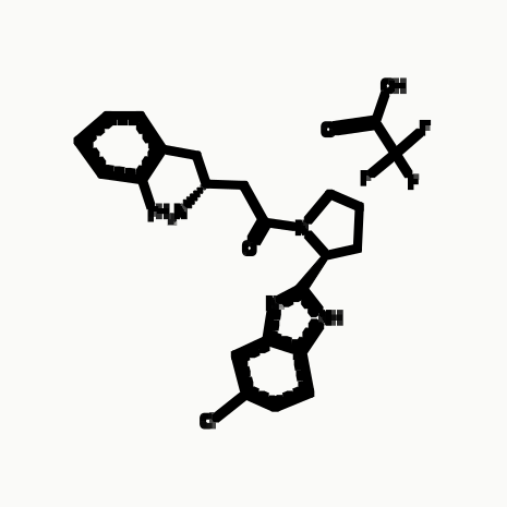 N[C@@H](CC(=O)N1CCC[C@H]1c1nc2cc(Cl)ccc2[nH]1)Cc1ccccc1F.O=C(O)C(F)(F)F